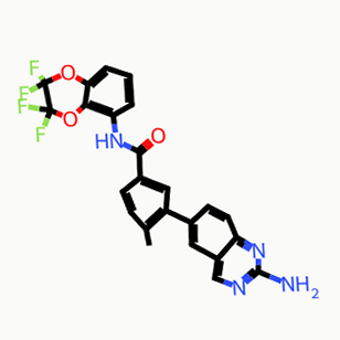 Cc1ccc(C(=O)Nc2cccc3c2OC(F)(F)C(F)(F)O3)cc1-c1ccc2nc(N)ncc2c1